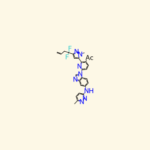 C=CCC(F)(F)c1cc(-c2nc(-n3cnc4cc(Nc5ccc(C)nn5)ccc43)ccc2C(C)=O)n(C)n1